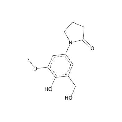 COc1cc(N2CCCC2=O)cc(CO)c1O